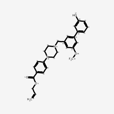 C=CCOC(=O)c1ccc(N2CCN(Cc3cc(OC(F)(F)F)cc(-c4cccc(O)c4)c3)CC2)cc1